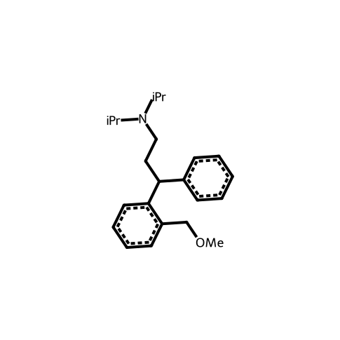 COCc1ccccc1C(CCN(C(C)C)C(C)C)c1ccccc1